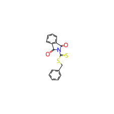 O=C1c2ccccc2C(=O)N1C(=S)SCc1ccccc1